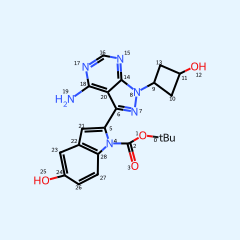 CC(C)(C)OC(=O)n1c(-c2nn(C3CC(O)C3)c3ncnc(N)c23)cc2cc(O)ccc21